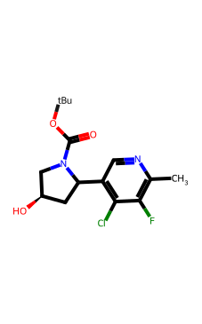 Cc1ncc(C2C[C@@H](O)CN2C(=O)OC(C)(C)C)c(Cl)c1F